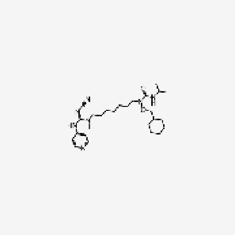 CC(C)NC(=O)N(CCCCCCCN/C(=N\C#N)Nc1ccncc1)OCC1CCCCC1